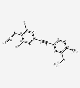 CCc1cc(C#Cc2cc(F)c(N=C=S)c(F)c2)ccc1C